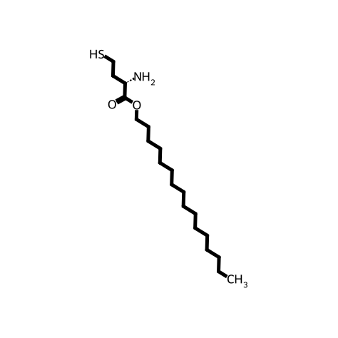 CCCCCCCCCCCCCCCCOC(=O)[C@@H](N)CCS